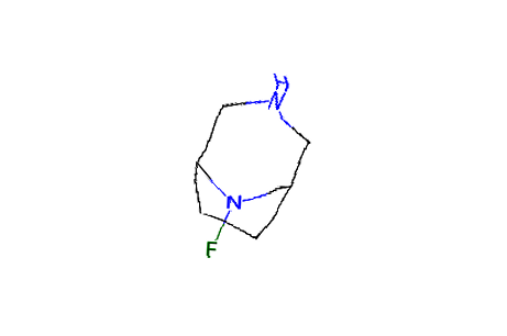 FN1C2CCC1CNC2